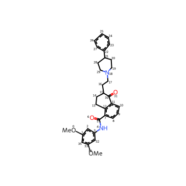 COc1cc(NC(=O)c2cccc3c2CCC(CCN2CCC(c4ccccc4)CC2)C3=O)cc(OC)c1